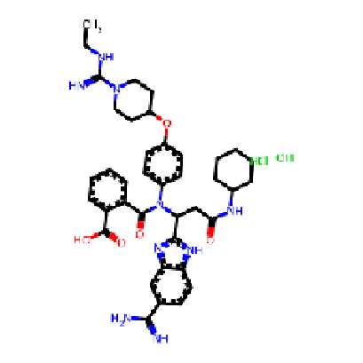 CCNC(=N)N1CCC(Oc2ccc(N(C(=O)c3ccccc3C(=O)O)C(CC(=O)NC3CCCCC3)c3nc4cc(C(=N)N)ccc4[nH]3)cc2)CC1.Cl.Cl